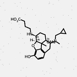 CO[C@@]12CC[C@H](NCCCC(=O)O)[C@@H]3Oc4c(O)ccc(c4C31C)CC2N(C)CC1CC1